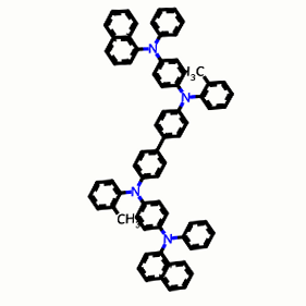 Cc1ccccc1N(c1ccc(-c2ccc(N(c3ccc(N(c4ccccc4)c4cccc5ccccc45)cc3)c3ccccc3C)cc2)cc1)c1ccc(N(c2ccccc2)c2cccc3ccccc23)cc1